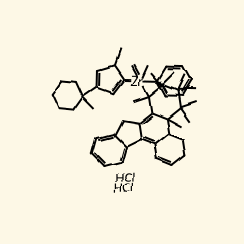 Cl.Cl.[CH2]=[Zr]([CH3])([C]1=CC(C2(C)CCCCC2)=CC1C)([c]1ccccc1)[C]1(C)C2=C3Cc4ccccc4C3=C3C=CCCC3C2(C)C(C)(C)C(C)(C)C1(C)C